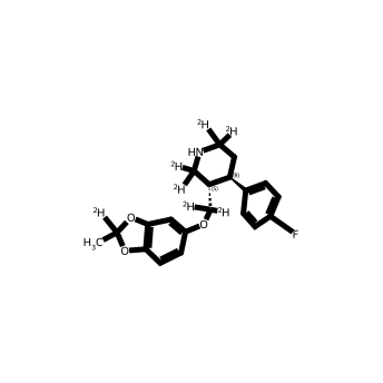 [2H]C1([2H])C[C@@H](c2ccc(F)cc2)[C@H](C([2H])([2H])Oc2ccc3c(c2)OC([2H])(C)O3)C([2H])([2H])N1